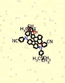 C[Si](C)(C)c1ccc(N(c2ccc(C#N)cc2)c2ccc3c(c2)C2(c4cc(N(c5ccc(C#N)cc5)c5ccc([Si](C)(C)C)cc5)ccc4-3)c3ccc4c(oc5ccccc54)c3-c3cccc4cccc2c34)cc1